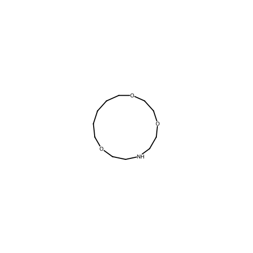 C1CCOCCNCCOCCOCC1